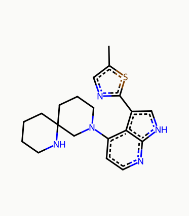 Cc1cnc(-c2c[nH]c3nccc(N4CCCC5(CCCCN5)C4)c23)s1